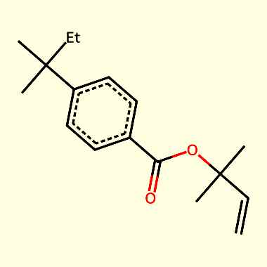 C=CC(C)(C)OC(=O)c1ccc(C(C)(C)CC)cc1